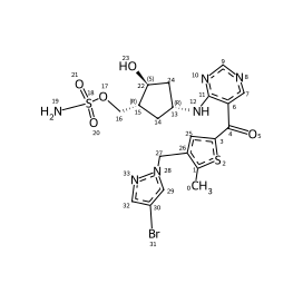 Cc1sc(C(=O)c2cncnc2N[C@@H]2C[C@H](COS(N)(=O)=O)[C@@H](O)C2)cc1Cn1cc(Br)cn1